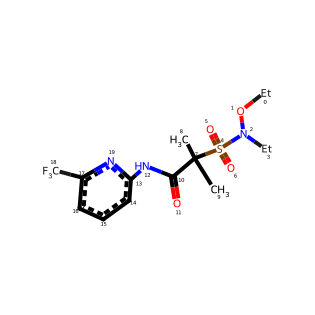 CCON(CC)S(=O)(=O)C(C)(C)C(=O)Nc1cccc(C(F)(F)F)n1